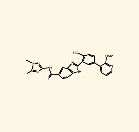 COc1ncccc1-c1ccc(O)c(-c2nc3cc(C(=O)Nc4nc(C)n(C)n4)ccc3[nH]2)c1